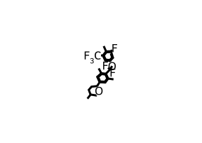 Cc1cc(C2CCC(C)CO2)cc(C)c1C(F)(F)Oc1cc(F)c(C)c(C(F)(F)F)c1